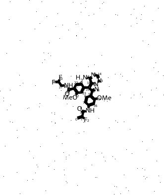 C=C(F)C(=O)Nc1ccc(-c2nn3ncnc(N)c3c2-c2ccc(C(=O)NCC(F)F)c(OC)c2)c(OC)c1